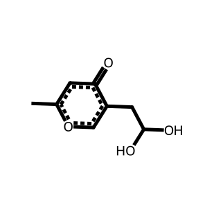 Cc1cc(=O)c(CC(O)O)co1